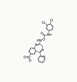 O=C(Nc1ccc(Cl)c(Cl)c1)ONC1=Nc2ccc([N+](=O)[O-])cc2C(c2ccccn2)=NC1